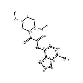 CC[C@@H]1CC[C@H](CC)N(C(=O)C(=O)Nc2cnc(N)c3cn[nH]c23)C1